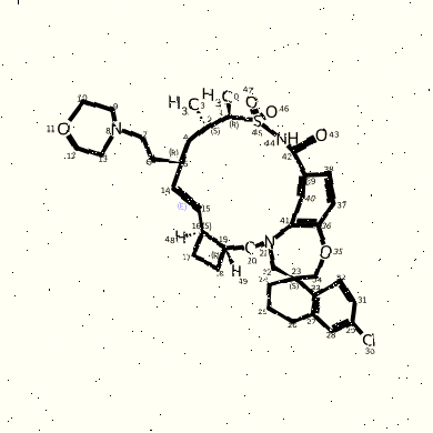 C[C@@H]1[C@@H](C)C[C@H](CCN2CCOCC2)/C=C/[C@@H]2CC[C@H]2CN2C[C@@]3(CCCc4cc(Cl)ccc43)COc3ccc(cc32)C(=O)NS1(=O)=O